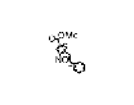 COC(=O)c1cc([N+](=O)[O-])c(C=Cc2ccccc2)s1